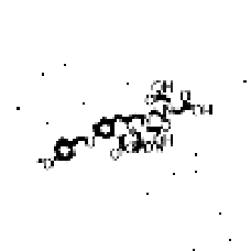 COc1ccc(COc2ccc(CC(CN(CCN(CC(=O)O)CC(=O)O)CC(=O)O)N(CC(=O)O)CC(=O)O)cc2)cc1